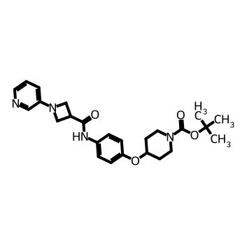 CC(C)(C)OC(=O)N1CCC(Oc2ccc(NC(=O)C3CN(c4cccnc4)C3)cc2)CC1